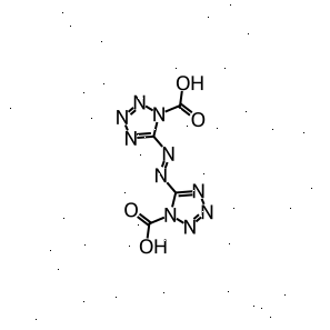 O=C(O)n1nnnc1N=Nc1nnnn1C(=O)O